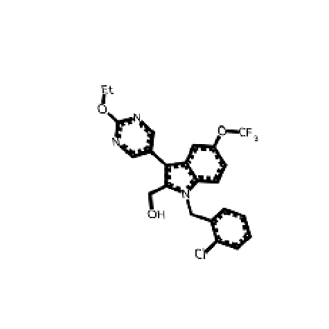 CCOc1ncc(-c2c(CO)n(Cc3ccccc3Cl)c3ccc(OC(F)(F)F)cc23)cn1